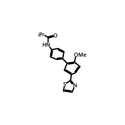 COc1ccc(-c2nccs2)cc1-c1ccc(NC(=O)C(C)C)cc1